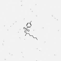 CCCCCC[C@@H](C)OS(=O)(=O)c1ccc(C)cc1